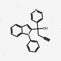 C#CCC(O)(c1ccncc1)c1cc2ccccc2n1-c1ccccc1